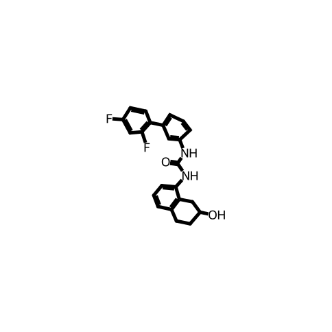 O=C(Nc1cccc(-c2ccc(F)cc2F)c1)Nc1cccc2c1CC(O)CC2